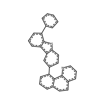 c1ccc(-c2cccc3c2sc2ccc(-c4cccc5ccc6cccnc6c45)cc23)cc1